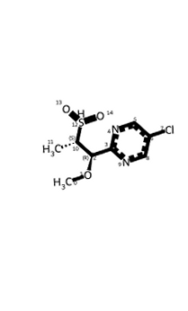 CO[C@H](c1ncc(Cl)cn1)[C@H](C)[SH](=O)=O